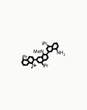 CNc1c(-c2cc(C(C)C)c3cccc(N)c3c2)ccc2c(C(C)C)cc(-c3ccc4c(C(C)C)cccc4c3N(C)C)cc12